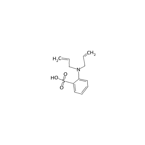 C=CCN(CC=C)c1ccccc1S(=O)(=O)O